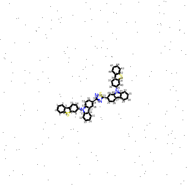 c1ccc2c(c1)sc1cc(-n3c4ccccc4c4cc(-c5nsc(-c6ccc7c8ccccc8n(-c8ccc9c(c8)sc8ccccc89)c7c6)n5)ccc43)ccc12